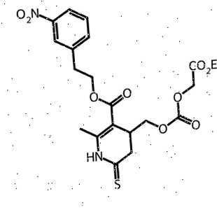 CCOC(=O)COC(=O)OCC1CC(=S)NC(C)=C1C(=O)OCCc1cccc([N+](=O)[O-])c1